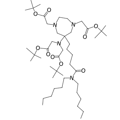 CCCCCCN(CCCCCC)C(=O)CCCCC1(N(CC(=O)OC(C)(C)C)CC(=O)OC(C)(C)C)CN(CC(=O)OC(C)(C)C)CCN(CC(=O)OC(C)(C)C)C1